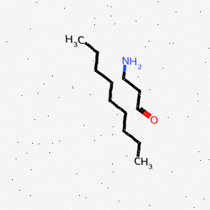 CCCCCCCCC.NCCC=O